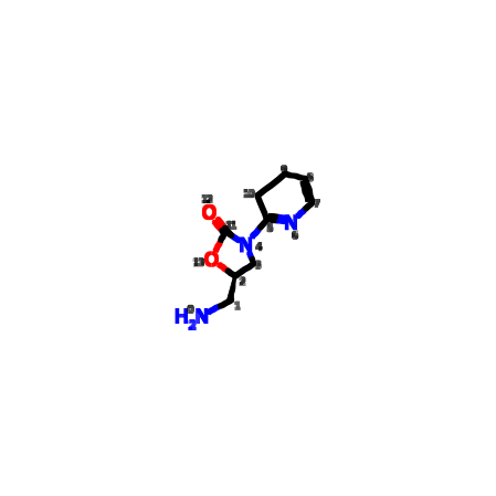 NC[C@@H]1CN(C2=NC=CCC2)C(=O)O1